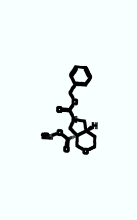 CC(C)(C)OC(=O)[C@@]12COCC[C@H]1CN(C(=O)OCc1ccccc1)C2